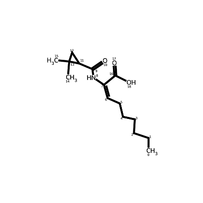 CCCCCC/C=C(/NC(=O)C1CC1(C)C)C(=O)O